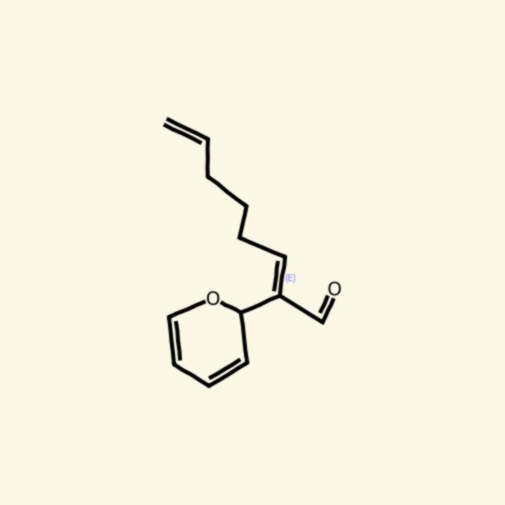 C=CCCC/C=C(/C=O)C1C=CC=CO1